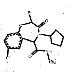 CCC1Oc2ccc(Cl)cc2C(C(=O)NC(C)(C)C)N(C2CCCC2)C1=O